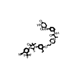 CCc1cc(N2C(=S)N(c3ccc(C#N)c(C(F)(F)F)c3)C(=O)C2(C)C)ccc1OCCN1CCN(C(C)C(=O)Nc2cccc(NC3CCC(=O)NC3=O)c2)CC1